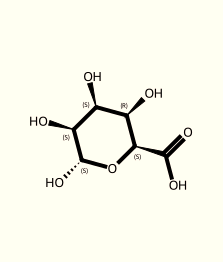 O=C(O)[C@H]1O[C@H](O)[C@@H](O)[C@@H](O)[C@H]1O